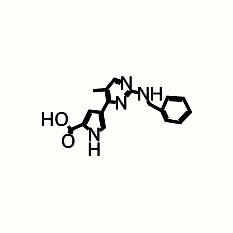 Cc1cnc(NCc2ccccc2)nc1-c1c[nH]c(C(=O)O)c1